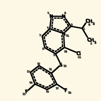 CC(C)c1nnc2ccc(Sc3ccc(F)cc3F)c(Cl)n12